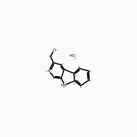 Cl.ClCc1cc2c(cn1)[nH]c1ccccc12